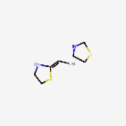 C1CSCN1.N#CC=C1NCCS1